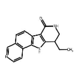 CCC1CNC(=O)c2c1[nH]c1c2ccc2cnccc21